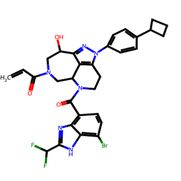 C=CC(=O)N1CC(O)c2nn(-c3ccc(C4CCC4)cc3)c3c2C(C1)N(C(=O)c1ccc(Br)c2[nH]c(C(F)F)nc12)CC3